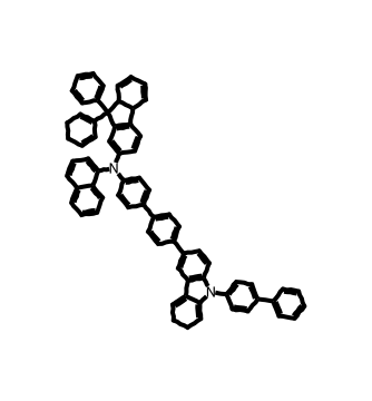 C1=CC2c3ccc(N(c4ccc(-c5ccc(-c6ccc7c(c6)c6c(n7-c7ccc(-c8ccccc8)cc7)=CCCC=6)cc5)cc4)c4cccc5ccccc45)cc3C(C3=CCCC=C3)(c3ccccc3)C2C=C1